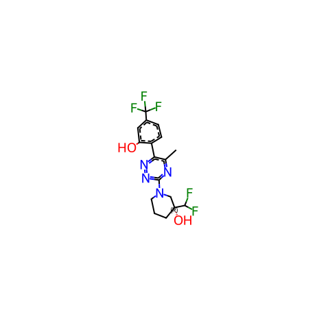 Cc1nc(N2CCC[C@](O)(C(F)F)C2)nnc1-c1ccc(C(F)(F)F)cc1O